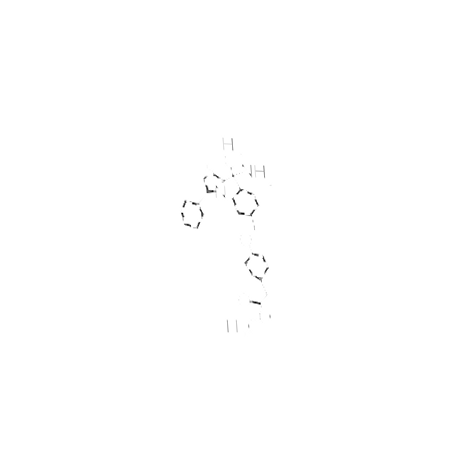 COC(=O)Cc1ccc(OCc2ccc(C(C)(N)c3nc(-c4ccccc4)cs3)cc2)cc1